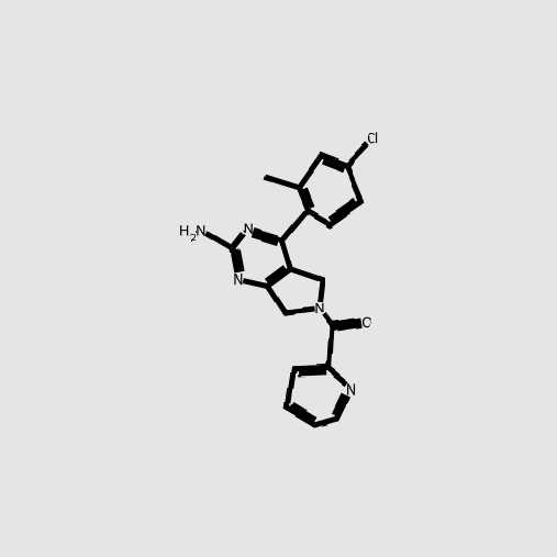 Cc1cc(Cl)ccc1-c1nc(N)nc2c1CN(C(=O)c1ccccn1)C2